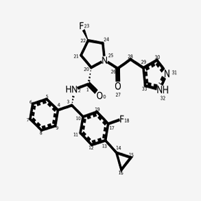 O=C(N[C@@H](c1ccccc1)c1ccc(C2CC2)c(F)c1)[C@@H]1C[C@@H](F)CN1C(=O)Cc1cn[nH]c1